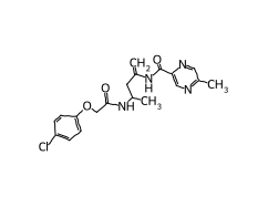 C=C(CC(C)NC(=O)COc1ccc(Cl)cc1)NC(=O)c1cnc(C)cn1